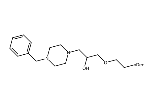 CCCCCCCCCCCCOCC(O)CN1CCN(Cc2ccccc2)CC1